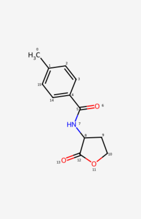 Cc1ccc(C(=O)NC2CCOC2=O)cc1